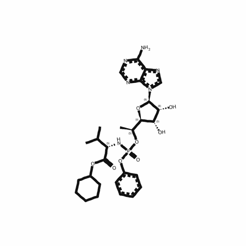 CC(C)[C@H](NP(=O)(Oc1ccccc1)O[C@@H](C)[C@H]1O[C@@H](n2cnc3c(N)ncnc32)[C@H](O)[C@@H]1O)C(=O)OC1CCCCC1